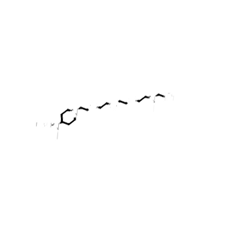 CC(C)CNCCOCCOCCOCCN1CCC(NC(C)(C)C)CC1